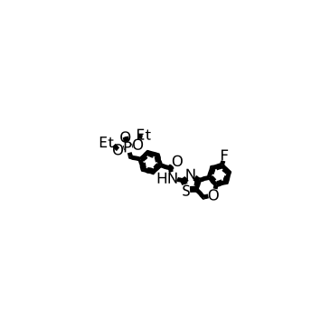 CCOP(=O)(Cc1ccc(C(=O)Nc2nc3c(s2)COc2ccc(F)cc2-3)cc1)OCC